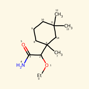 CCO[C](C(N)=O)C1(C)CCCC(C)(C)C1